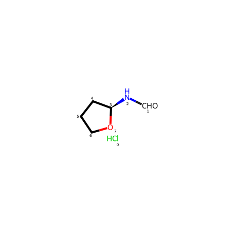 Cl.O=CN[C@@H]1CCCO1